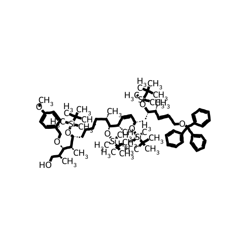 COc1ccc(CO[C@H]([C@@H](C)[C@@H](CCCC[C@H](C)[C@@H](O[Si](C)(C)C(C)(C)C)[C@@H](C)/C=C\[C@H](C[C@H](O[Si](C)(C)C(C)(C)C)[C@H](C)/C=C/COC(c2ccccc2)(c2ccccc2)c2ccccc2)O[Si](C)(C)C(C)(C)C)O[Si](C)(C)C(C)(C)C)[C@@H](C)CO)cc1